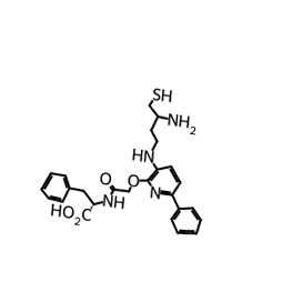 NC(CS)CCNc1ccc(-c2ccccc2)nc1OCC(=O)N[C@@H](Cc1ccccc1)C(=O)O